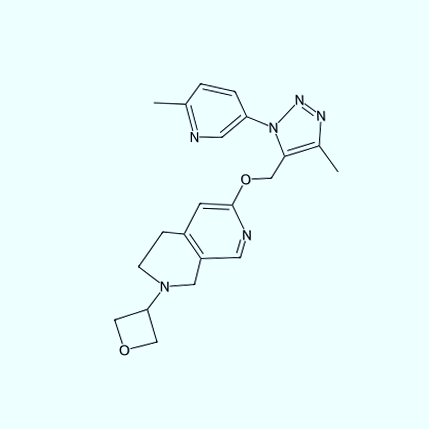 Cc1ccc(-n2nnc(C)c2COc2cc3c(cn2)CN(C2COC2)CC3)cn1